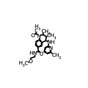 COCCNC(=O)c1ccc2c(c1)C(Nc1cccc(C)n1)C(C)C(C)N2C(C)=O